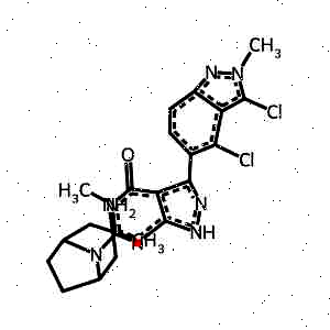 Cn1nc2ccc(-c3n[nH]c4nc(N5C6CCC5CC(C)(N)C6)n(C)c(=O)c34)c(Cl)c2c1Cl